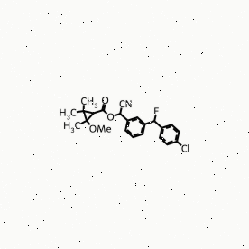 COC1(C)C(C(=O)OC(C#N)c2cccc(C(F)c3ccc(Cl)cc3)c2)C1(C)C